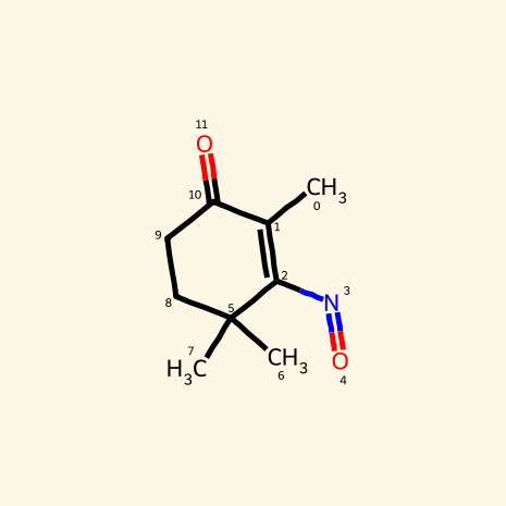 CC1=C(N=O)C(C)(C)CCC1=O